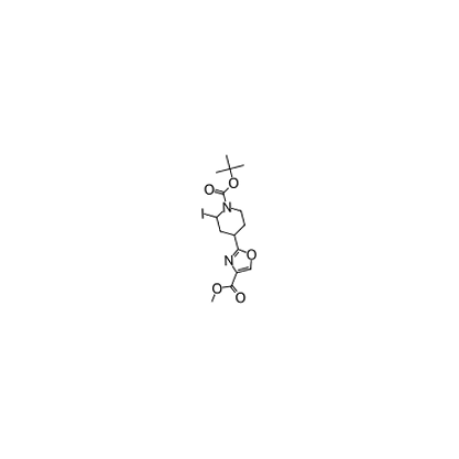 COC(=O)c1coc(C2CCN(C(=O)OC(C)(C)C)C(I)C2)n1